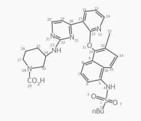 CCCCS(=O)(=O)Nc1cccc2c(Oc3ncccc3-c3ccnc(NC4CCCN(C(=O)O)C4)n3)c(C)ccc12